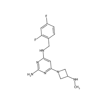 CNC1CN(c2cc(NCc3ccc(F)cc3F)nc(N)n2)C1